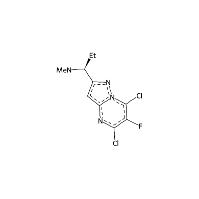 CC[C@H](NC)c1cc2nc(Cl)c(F)c(Cl)n2n1